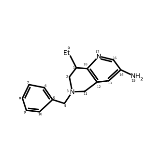 CCC1CN(Cc2ccccc2)Cc2cc(N)cnc21